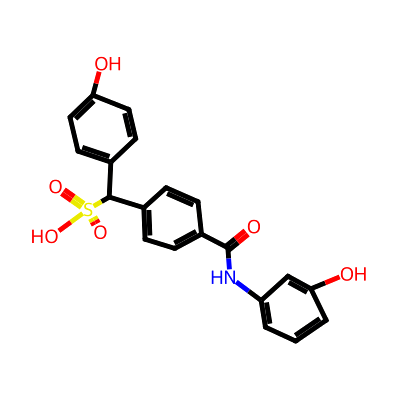 O=C(Nc1cccc(O)c1)c1ccc(C(c2ccc(O)cc2)S(=O)(=O)O)cc1